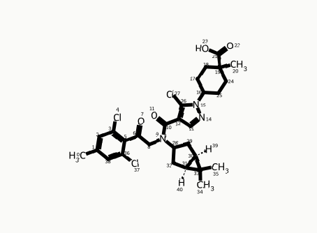 Cc1cc(Cl)c(C(=O)CN(C(=O)c2cnn(C3CCC(C)(C(=O)O)CC3)c2Cl)C2C[C@@H]3[C@H](C2)C3(C)C)c(Cl)c1